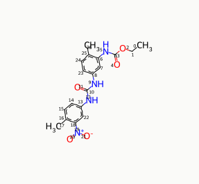 CCOC(=O)Nc1cc(NC(=O)Nc2ccc(C)c([N+](=O)[O-])c2)ccc1C